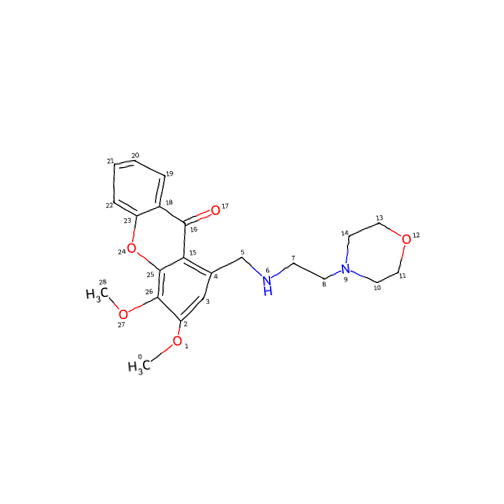 COc1cc(CNCCN2CCOCC2)c2c(=O)c3ccccc3oc2c1OC